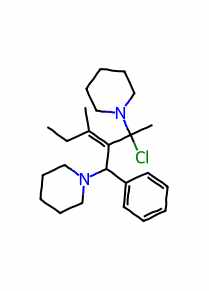 CCC(C)=C(C(c1ccccc1)N1CCCCC1)C(C)(Cl)N1CCCCC1